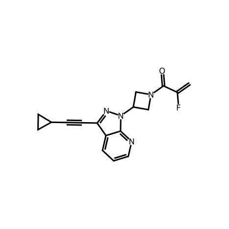 C=C(F)C(=O)N1CC(n2nc(C#CC3CC3)c3cccnc32)C1